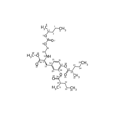 CCCC(C)OC(=O)OCCN[C@@H](Cc1ccc(OC(=O)C(C)CCC)c(OC(=O)C(C)CCC)c1)C(=O)OC